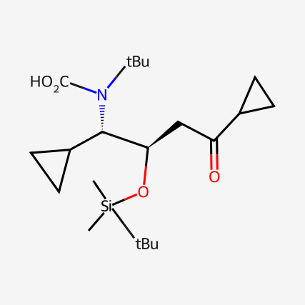 CC(C)(C)N(C(=O)O)[C@@H](C1CC1)[C@@H](CC(=O)C1CC1)O[Si](C)(C)C(C)(C)C